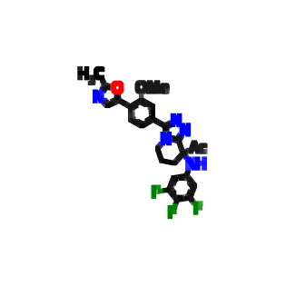 COc1cc(-c2nnc3n2CCCC3(Nc2cc(F)c(F)c(F)c2)C(C)=O)ccc1-c1cnc(C)o1